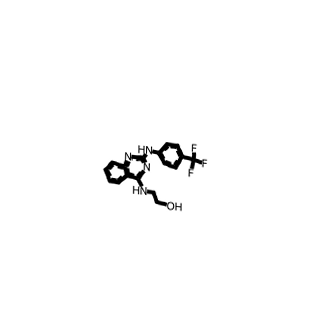 OCCNc1nc(Nc2ccc(C(F)(F)F)cc2)nc2ccccc12